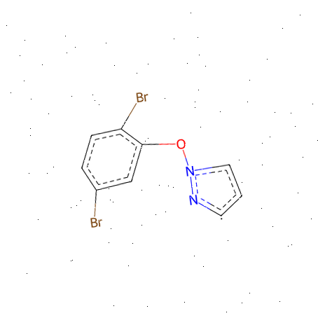 Brc1ccc(Br)c(On2cc[c]n2)c1